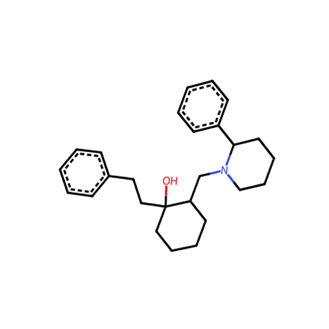 OC1(CCc2ccccc2)CCCCC1CN1CCCCC1c1ccccc1